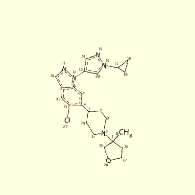 CC1(N2CCC(c3cc4c(cnn4-c4cnn(C5CC5)c4)cc3Cl)CC2)CCOC1